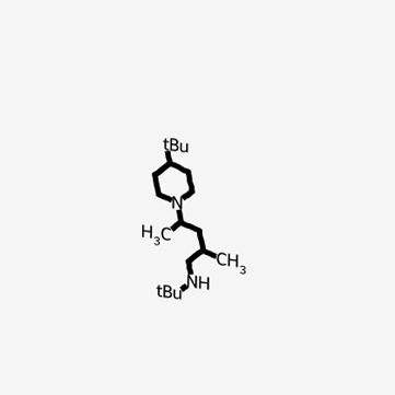 CC(CNC(C)(C)C)CC(C)N1CCC(C(C)(C)C)CC1